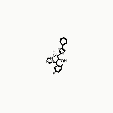 C[C@@H](c1nc(-c2ccccc2)cs1)[C@@H](O)C(c1cc(F)ccc1F)n1cncn1